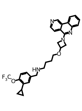 FC(F)(F)Oc1ccc(CNCCCCOC2CN(c3nc4ccccc4c4cnccc34)C2)cc1C1CC1